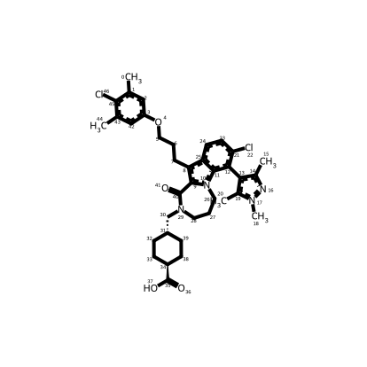 Cc1cc(OCCCc2c3n(c4c(-c5c(C)nn(C)c5C)c(Cl)ccc24)CCCN(C[C@H]2CC[C@H](C(=O)O)CC2)C3=O)cc(C)c1Cl